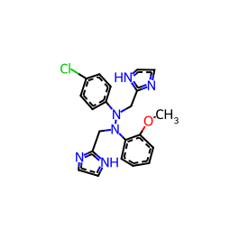 COc1ccccc1N(Cc1ncc[nH]1)N(Cc1ncc[nH]1)c1ccc(Cl)cc1